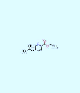 CCOC(=O)c1ccc(C=C(C)C)cn1